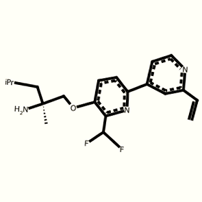 C=Cc1cc(-c2ccc(OC[C@@](C)(N)CC(C)C)c(C(F)F)n2)ccn1